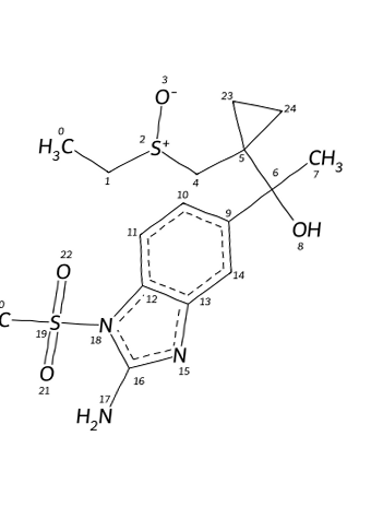 CC[S+]([O-])CC1(C(C)(O)c2ccc3c(c2)nc(N)n3S(C)(=O)=O)CC1